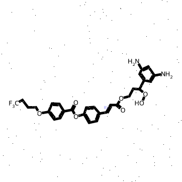 Nc1cc(N)cc(C(CCOC(=O)/C=C/c2ccc(OC(=O)c3ccc(OCCCC(F)(F)F)cc3)cc2)OO)c1